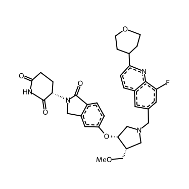 COC[C@H]1CN(Cc2cc(F)c3nc(C4CCOCC4)ccc3c2)C[C@H]1Oc1ccc2c(c1)CN([C@H]1CCC(=O)NC1=O)C2=O